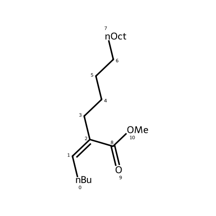 CCCCC=C(CCCCCCCCCCCC)C(=O)OC